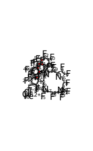 FC1=C(F)c2nc1c(F)c1c(F)c(F)c(c(F)c3nc(c(-c4c(F)c(F)c(F)c(F)c4F)c4c(-c5c(F)c(F)c(F)c(F)c5F)c(-c5c(F)c(F)c(F)c(F)c5F)c(c2F)n4-c2c(F)c(F)c(F)c(F)c2F)C(F)=C3F)n1F.[Cl-].[Cl-].[Fe+2]